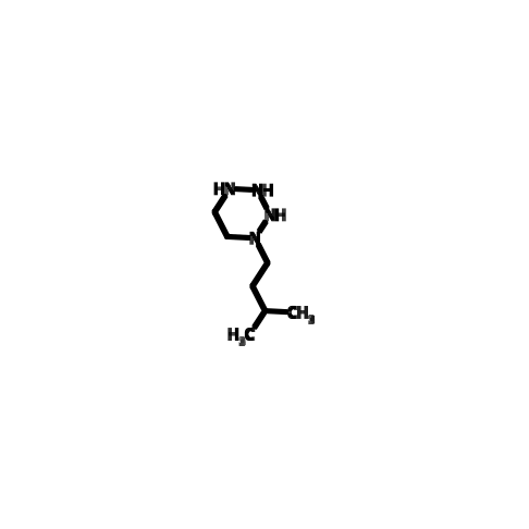 CC(C)CCN1CCNNN1